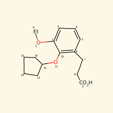 CCOc1cccc(CCC(=O)O)c1OC1CCCC1